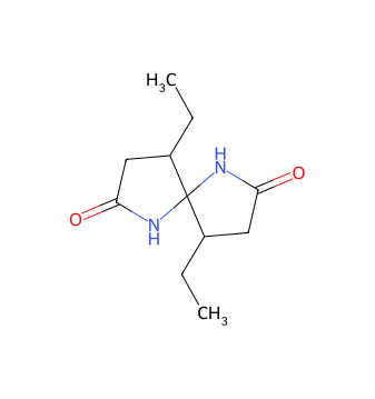 CCC1CC(=O)NC12NC(=O)CC2CC